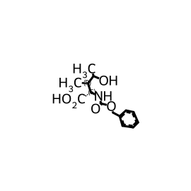 CC(O)[C@H](C)[C@H](NC(=O)OCc1ccccc1)C(=O)O